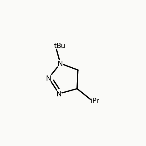 CC(C)C1CN(C(C)(C)C)N=N1